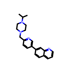 CC(C)N1CCN(Cc2ccc(-c3ccc4cccnc4c3)cn2)CC1